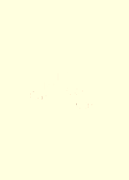 [Ca+2].[Ca+2].[Ca+2].[P-3].[P-3]